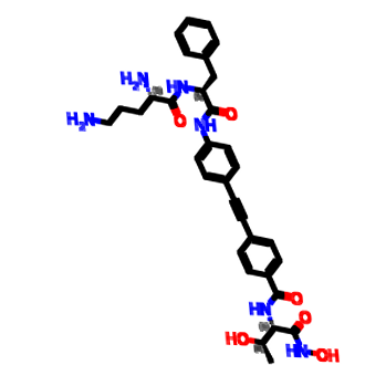 C[C@@H](O)[C@H](NC(=O)c1ccc(C#Cc2ccc(NC(=O)[C@H](Cc3ccccc3)NC(=O)[C@@H](N)CCCN)cc2)cc1)C(=O)NO